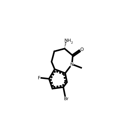 CN1C(=O)[C@@H](N)CCc2c(F)cc(Br)cc21